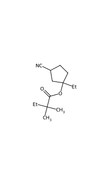 CCC1(OC(=O)C(C)(C)CC)CCC(C#N)C1